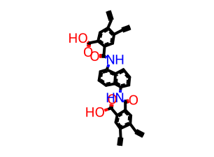 C#Cc1cc(C(=O)O)c(C(=O)Nc2cccc3c(NC(=O)c4cc(C#C)c(C#C)cc4C(=O)O)cccc23)cc1C#C